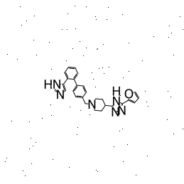 c1coc(-c2nnc(C3CCN(Cc4ccc(-c5ccccc5-c5cnc[nH]5)cc4)CC3)[nH]2)c1